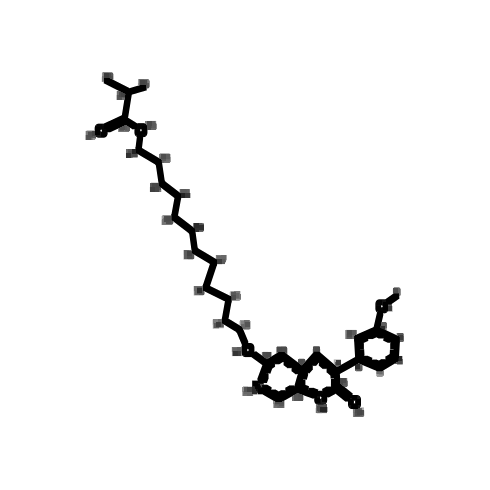 COc1cccc(-c2cc3cc(OCCCCCCCCCCCCOC(=O)C(C)C)ncc3oc2=O)c1